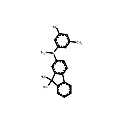 Cc1cc(C)cc(N(N)c2ccc3c(c2)C(C)(C)c2ccccc2-3)c1